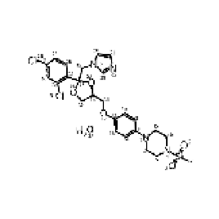 CS(=O)(=O)N1CCN(c2ccc(OCC3COC(Cn4ccnc4)(c4ccc(Cl)cc4Cl)O3)cc2)CC1.O